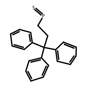 S=PCCC(c1ccccc1)(c1ccccc1)c1ccccc1